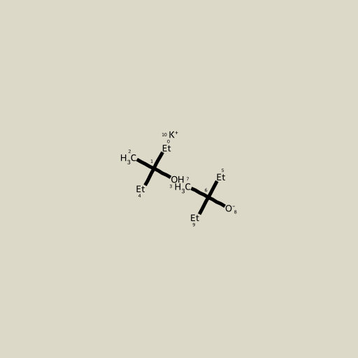 CCC(C)(O)CC.CCC(C)([O-])CC.[K+]